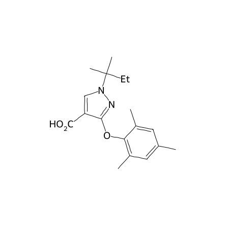 CCC(C)(C)n1cc(C(=O)O)c(Oc2c(C)cc(C)cc2C)n1